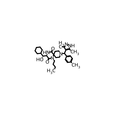 CCCCN1C(=O)[C@@H]([C@H](O)C2CCCCC2)NC(=O)C12CCN(C(c1ccc(C)cc1)c1c(C)n[nH]c1C)CC2